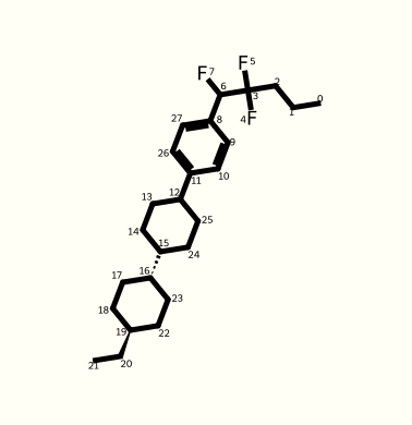 CCCC(F)(F)C(F)c1ccc(C2CCC([C@H]3CC[C@H](CC)CC3)CC2)cc1